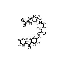 CC1(CN2CCN(C(=O)OCc3ccc(C(=O)c4ccccc4)cc3)CC2)Cn2cc([N+](=O)[O-])nc2O1